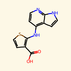 O=C(O)c1ccsc1Nc1ccnc2[nH]ccc12